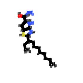 CCCCCCCCC(CC)c1nc2[nH]c(C(N)=O)cc2s1